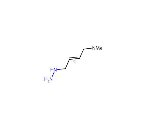 CNC/C=C/CNN